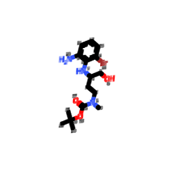 CN(CCC(CO)Nc1c(N)cccc1Br)C(=O)OC(C)(C)C